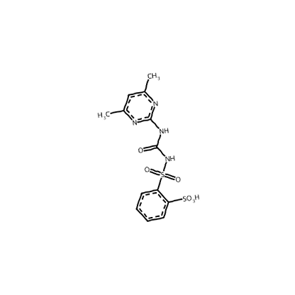 Cc1cc(C)nc(NC(=O)NS(=O)(=O)c2ccccc2S(=O)(=O)O)n1